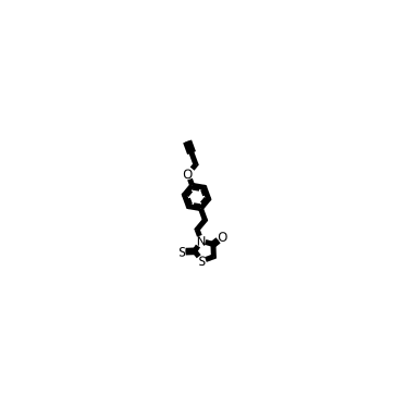 C#CCOc1ccc(CCN2C(=O)CSC2=S)cc1